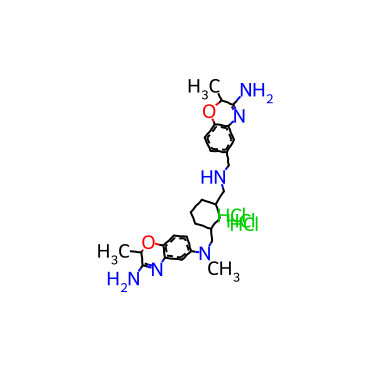 CC1Oc2ccc(CNCC3CCCC(CN(C)c4ccc5c(c4)N=C(N)C(C)O5)C3)cc2N=C1N.Cl.Cl.Cl